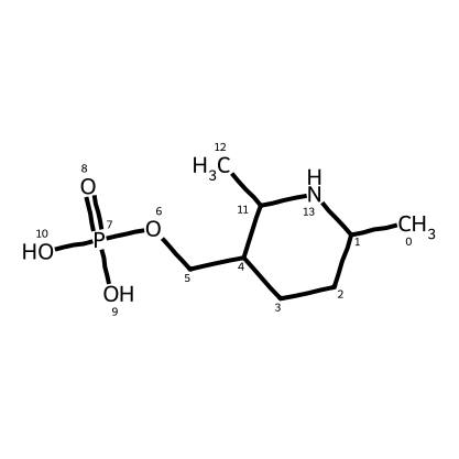 CC1CCC(COP(=O)(O)O)C(C)N1